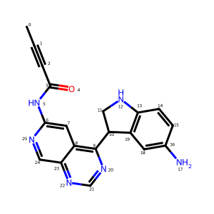 CC#CC(=O)Nc1cc2c(C3CNc4ccc(N)cc43)ncnc2cn1